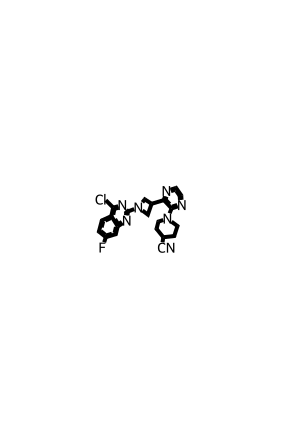 N#CC1CCN(c2nccnc2C2CN(c3nc(Cl)c4ccc(F)cc4n3)C2)CC1